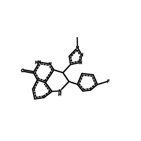 Cn1cc(C2c3n[nH]c(=O)c4cccc(c34)NC2c2ccc(F)cc2)nn1